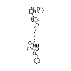 O=C(CCCCCCOc1ccc(-c2ccnn2C2CCCCO2)nc1)NC1(C(=O)OCc2ccccc2)CCCC1